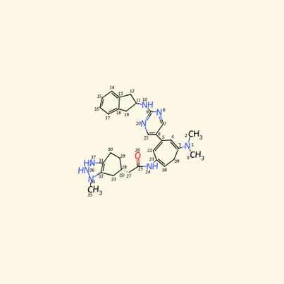 CN(C)C1=CC(c2cnc(NC3Cc4ccccc4C3)nc2)=CC(NC(=O)C[C@H]2CCC3=C(C2)N(C)NN3)=CC1